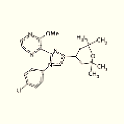 COc1nccnc1-c1nc(C2CC(C)(C)OC(C)(C)C2)cn1-c1ccc(Cl)cc1